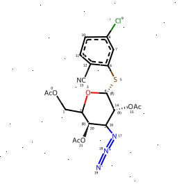 CC(=O)OCC1O[C@H](Sc2cc(Cl)ccc2C#N)[C@H](OC(C)=O)C(N=[N+]=[N-])[C@H]1OC(C)=O